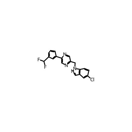 FC(F)c1cccc(-c2cnc(Cn3ncc4cc(Cl)ccc43)cn2)c1